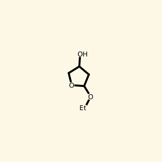 CCOC1CC(O)CO1